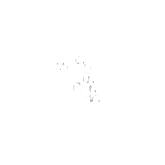 CCC1(c2ccccc2OCC2CCCCO2)CNCCN1c1ccc(Cl)c(OC)c1